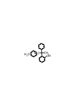 CC(C)(c1ccccc1)c1ccccc1O.O.c1ccccc1